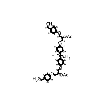 C=Cc1ccc(OCC(COc2ccc(C(C)(C)c3ccc(OCC(COc4ccc(C=C)cc4)OC(C)=O)cc3)cc2)OC(C)=O)cc1